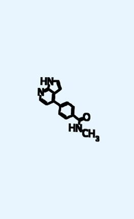 CNC(=O)c1ccc(-c2ccnc3[nH]ccc23)cc1